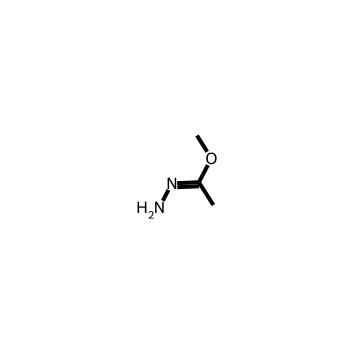 COC(C)=NN